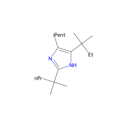 CCCC(C)c1nc(C(C)(C)CCC)[nH]c1C(C)(C)CC